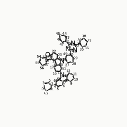 c1ccc(-c2ccc3c4ccccc4n(-c4ccc5c6c7c(ccc6n(-c6cccc(-c8nc(-c9ccccc9)nc(-c9ccccc9)n8)c6)c5c4)oc4ccccc47)c3c2)cc1